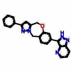 c1ccc(-c2cc3n(n2)Cc2ccc(-c4[nH]nc5cccnc45)cc2OC3)cc1